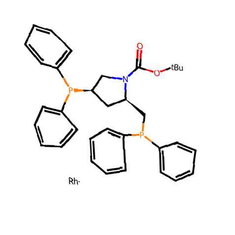 CC(C)(C)OC(=O)N1C[C@H](P(c2ccccc2)c2ccccc2)C[C@@H]1CP(c1ccccc1)c1ccccc1.[Rh]